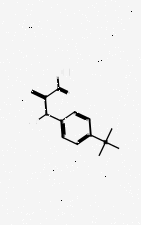 C=C(C(=O)O)C(O)c1ccc(C(C)(C)C)cc1